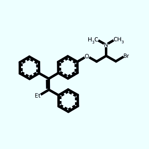 CC/C(=C(\c1ccccc1)c1ccc(OCC(CBr)N(C)C)cc1)c1ccccc1